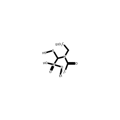 CCOC(=O)CN(C(=O)C(F)(F)F)C(SS)P(=O)(O)OCC